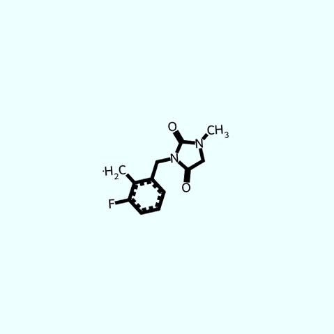 [CH2]c1c(F)cccc1CN1C(=O)CN(C)C1=O